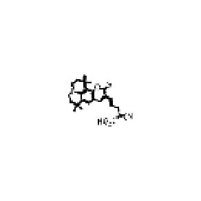 CC1(C)CCN2CCC(C)(C)c3c2c1cc1cc(C=CCC(C#N)C(=O)O)c(=S)oc31